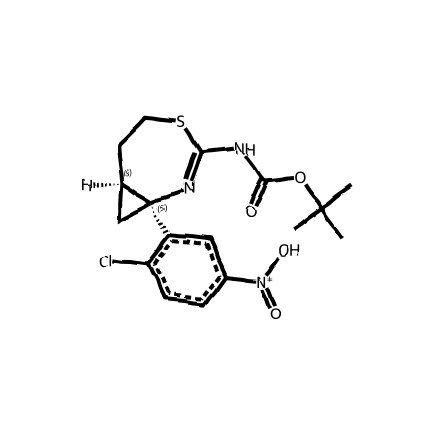 CC(C)(C)OC(=O)NC1=N[C@@]2(c3cc([N+](=O)O)ccc3Cl)C[C@H]2CCS1